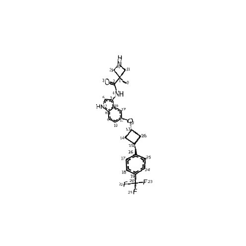 CC1(C(=O)Nc2c[nH]c3ccc(O[C@H]4C[C@H](c5ccc(C(F)(F)F)cc5)C4)cc23)CNC1